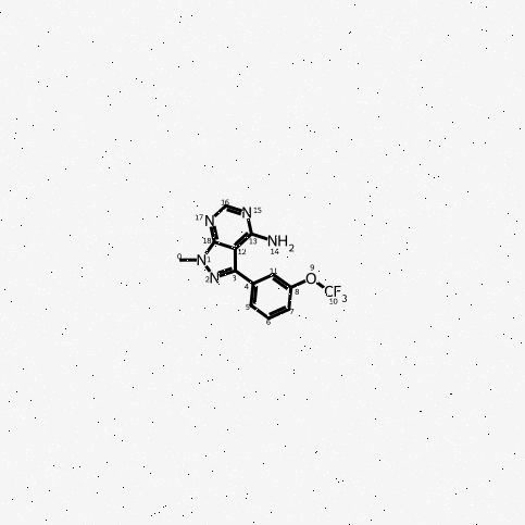 Cn1nc(-c2cccc(OC(F)(F)F)c2)c2c(N)ncnc21